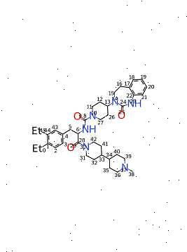 CCc1ccc(CC(NC(=O)N2CCC(N3CCc4ccccc4NC3=O)CC2)C(=O)N2CCC(C3CCN(C)CC3)CC2)cc1CC